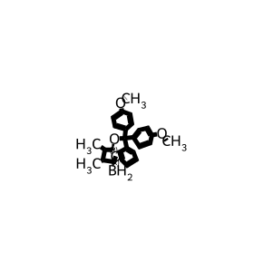 B[C@H]1O[C@H](OC(c2ccccc2)(c2ccc(OC)cc2)c2ccc(OC)cc2)C(C)C1C